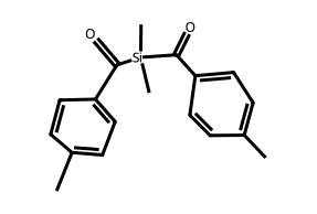 Cc1ccc(C(=O)[Si](C)(C)C(=O)c2ccc(C)cc2)cc1